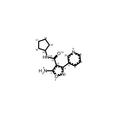 Nc1onc(-c2cccnc2)c1C(=O)NC1CCCC1